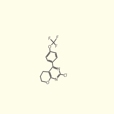 FC(F)(F)Oc1ccc(-c2nc(Cl)nc3c2CCCO3)cc1